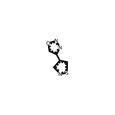 [c]1nscc1-c1conn1